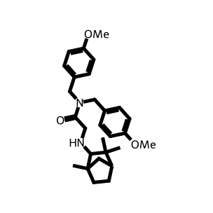 COc1ccc(CN(Cc2ccc(OC)cc2)C(=O)CNC2C3(C)CCC(C3)C2(C)C)cc1